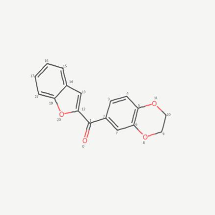 O=C(c1ccc2c(c1)OCCO2)c1cc2ccccc2o1